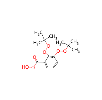 CC(C)(C)OOc1cccc(C(=O)OO)c1OOC(C)(C)C